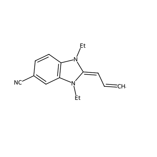 [CH]=CC=C1N(CC)c2ccc(C#N)cc2N1CC